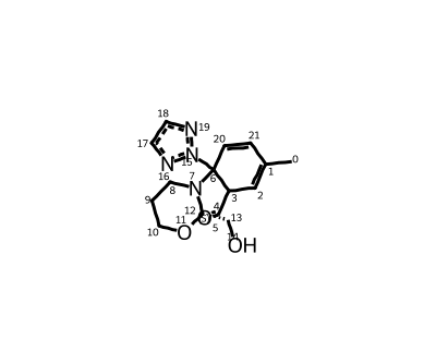 CC1=CC(C=O)C(N2CCCO[C@H]2CO)(n2nccn2)C=C1